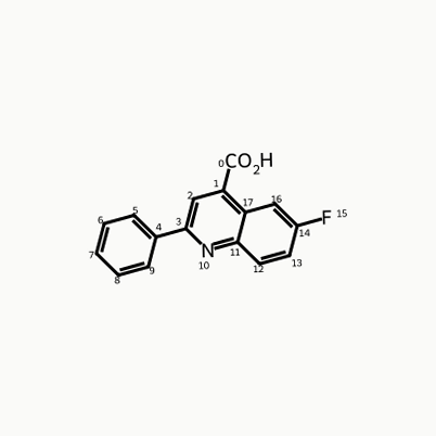 O=C(O)c1cc(-c2ccccc2)nc2ccc(F)cc12